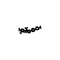 COc1ccc(-c2[nH]c3ccc(-c4ccc(N5CCN(C(C)C)CC5)cc4)cc3c2C(C)C)cc1OC